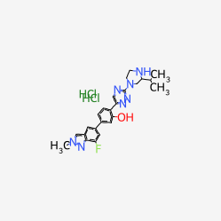 CC(C)C1CN(c2ncc(-c3ccc(-c4cc(F)c5nn(C)cc5c4)cc3O)nn2)CCN1.Cl.Cl